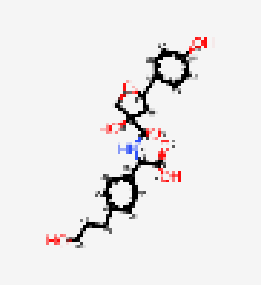 O=C(O)C(NC(=O)C1(O)COC(c2ccc(O)cc2)C1)c1ccc(CCCO)cc1